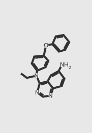 CCN(c1ccc(Oc2ccccc2)cc1)c1ncnc2ccc(N)cc12